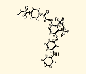 CCS(=O)(=O)N1CCN(C(=O)C=Cc2ccc(Sc3cccc(NC4CCOCC4)c3)c(C(F)(F)F)c2C(F)(F)F)CC1